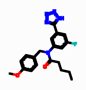 CCCCC(=O)N(Cc1ccc(OC)cc1)c1cc(F)cc(-c2nnn[nH]2)c1